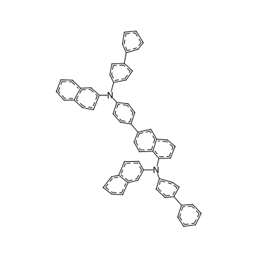 c1ccc(-c2ccc(N(c3ccc(-c4ccc5c(N(c6ccc(-c7ccccc7)cc6)c6ccc7ccccc7c6)cccc5c4)cc3)c3ccc4ccccc4c3)cc2)cc1